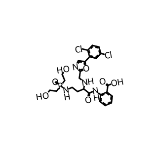 O=C(O)c1ccccc1NC(=O)C(CCNP(=O)(CCO)CCO)NCc1ncc(-c2cc(Cl)ccc2Cl)o1